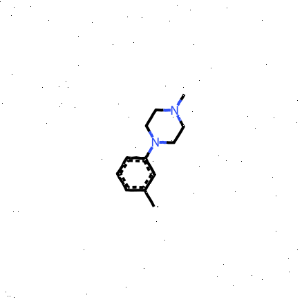 [CH2]c1cccc(N2CCN(C)CC2)c1